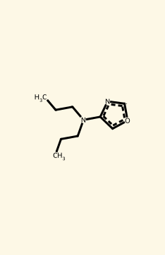 CCCN(CCC)c1co[c]n1